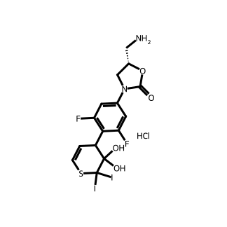 Cl.NC[C@H]1CN(c2cc(F)c(C3C=CSC(I)(I)C3(O)O)c(F)c2)C(=O)O1